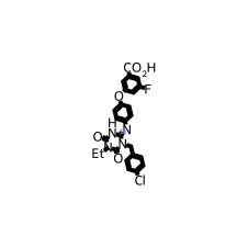 CCn1c(=O)[nH]/c(=N\c2ccc(Oc3cc(F)cc(C(=O)O)c3)cc2)n(Cc2ccc(Cl)cc2)c1=O